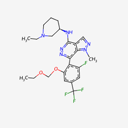 CCOCOc1cc(C(F)(F)F)cc(F)c1-c1nnc(N[C@@H]2CCCN(CC)C2)c2cnn(C)c12